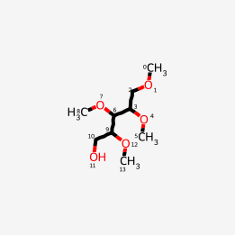 COCC(OC)C(OC)C(CO)OC